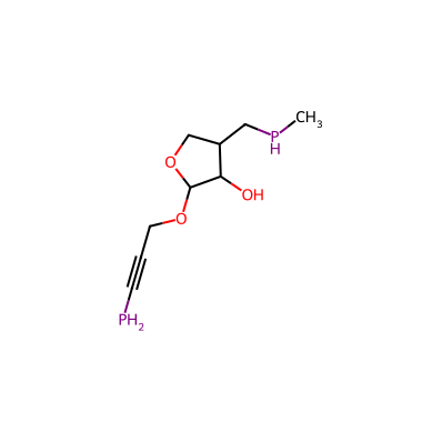 CPCC1COC(OCC#CP)C1O